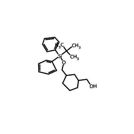 CC(C)(C)[Si](OCC1CCCC(CO)C1)(c1ccccc1)c1ccccc1